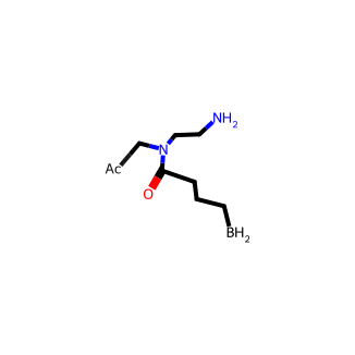 BCCCC(=O)N(CCN)CC(C)=O